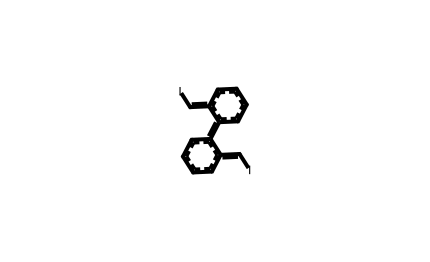 IC=c1ccccc1=c1ccccc1=CI